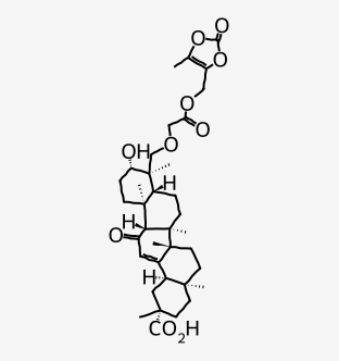 Cc1oc(=O)oc1COC(=O)COC[C@@]1(C)[C@@H]2CC[C@]3(C)[C@H](C(=O)C=C4[C@@H]5C[C@@](C)(C(=O)O)CC[C@]5(C)CC[C@]43C)[C@@]2(C)CC[C@@H]1O